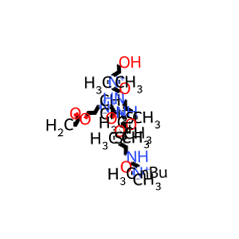 C=CC(=O)OCCC[N+](C)(C)CC(=O)NC[Si](C)(CCCNC(=O)C[N+](C)(C)CCCO)O[Si](C)(C)O[Si](C)(C)CCCNC(=O)C[N+](C)(C)CCCC